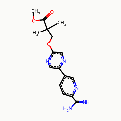 COC(=O)C(C)(C)COc1cnc(-c2ccc(C(=N)N)nc2)cn1